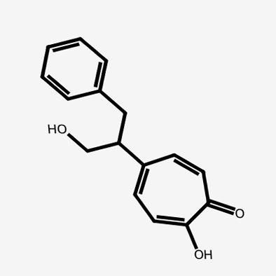 O=c1ccc(C(CO)Cc2ccccc2)ccc1O